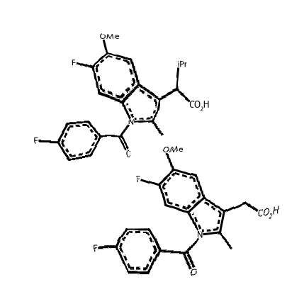 COc1cc2c(C(C(=O)O)C(C)C)c(C)n(C(=O)c3ccc(F)cc3)c2cc1F.COc1cc2c(CC(=O)O)c(C)n(C(=O)c3ccc(F)cc3)c2cc1F